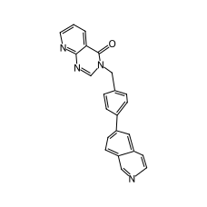 O=c1c2cccnc2ncn1Cc1ccc(-c2ccc3cnccc3c2)cc1